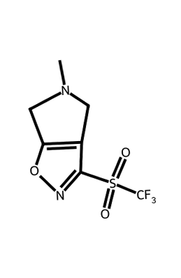 CN1Cc2onc(S(=O)(=O)C(F)(F)F)c2C1